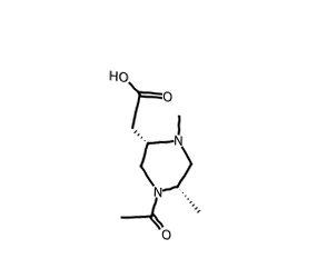 CC(=O)N1C[C@H](CC(=O)O)N(C)C[C@@H]1C